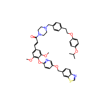 COc1cc(C=CC(=O)N2CCN(Cc3ccc(CCOc4ccc(OC(C)C)cc4)cc3)CC2)cc(OC)c1Oc1ccc(OCc2ccc3ncsc3c2)cn1